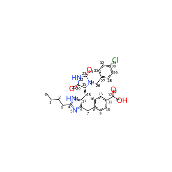 CCCCc1nc(Cc2ccc(C(=O)O)cc2)c(/C=C2\C(=O)NC(=O)N2Cc2ccc(Cl)cc2)[nH]1